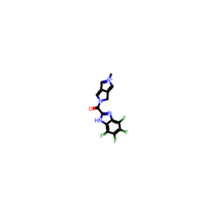 C[N+]1=CC2=CN(C(=O)c3nc4c(F)c(F)c(F)c(F)c4[nH]3)CC2=C1